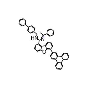 C/C(=N\C(NCc1ccc(-c2ccccc2)cc1)c1cccc2oc3c(-c4ccc5c6ccccc6c6ccccc6c5c4)cccc3c12)c1ccccc1